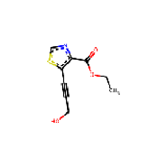 CCOC(=O)c1ncsc1C#CCO